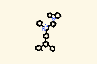 CC1C=CC=CC1c1cc(-c2ccccc2)cc(-c2ccc(-c3cc(-c4cccc(-n5c6ccccc6c6ccccc65)c4)nc(-c4ccccc4)n3)cc2)c1